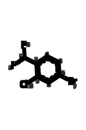 FC(F)c1ccc(Br)cc1Cl